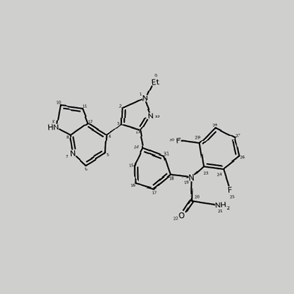 CCn1cc(-c2ccnc3[nH]ccc23)c(-c2cccc(N(C(N)=O)c3c(F)cccc3F)c2)n1